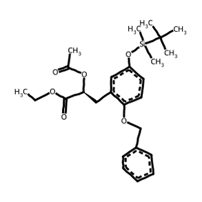 CCOC(=O)[C@H](Cc1cc(O[Si](C)(C)C(C)(C)C)ccc1OCc1ccccc1)OC(C)=O